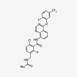 CC(C)(C)C(=O)NCc1ccc(Cl)c(C(=O)Nc2cccc3c(Oc4cc(C(F)(F)F)ccc4F)ncnc23)c1F